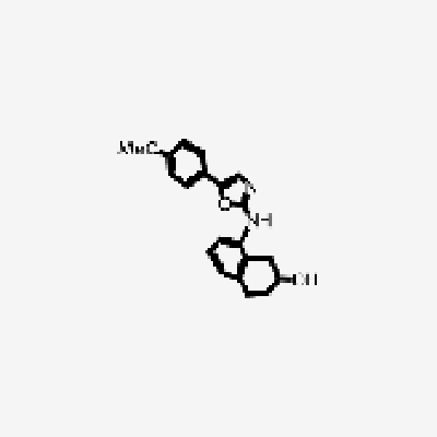 COc1ccc(-c2cnc(Nc3cccc4c3CC(O)CC4)o2)cc1